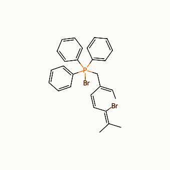 C/C=C(\C=C/C(Br)=C(C)C)CP(Br)(c1ccccc1)(c1ccccc1)c1ccccc1